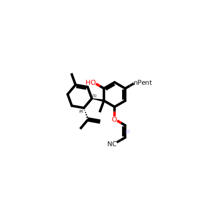 C=C(C)[C@@H]1CCC(C)=C[C@H]1C1(C)C(O)=CC(CCCCC)=CC1O/C=C\C#N